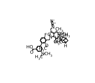 COc1c(-c2cc(C(=O)O)cc(N(C)C)c2)ccc(F)c1CN1O[C@@H](CN=[N+]=[N-])[C@@H]([C@H](C)O)[C@H]1C(=O)N[C@H]1C[C@H]2C[C@@H]([C@@H]1C)C2(C)C